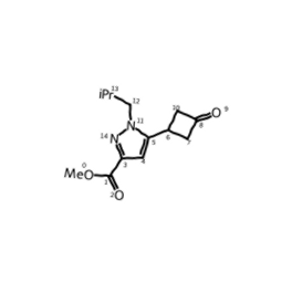 COC(=O)c1cc(C2CC(=O)C2)n(CC(C)C)n1